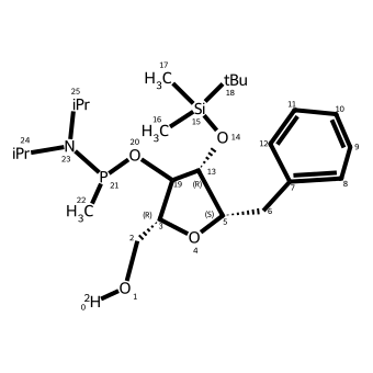 [2H]OC[C@H]1O[C@@H](Cc2ccccc2)[C@@H](O[Si](C)(C)C(C)(C)C)C1OP(C)N(C(C)C)C(C)C